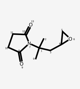 CC(C)(CC1CO1)N1C(=O)CCC1=O